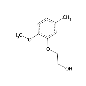 COc1ccc(C)cc1OCCO